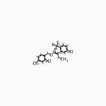 CC/C(=N\OCc1ccc(Cl)cc1Cl)c1cc(Cl)ccc1C(F)(F)F